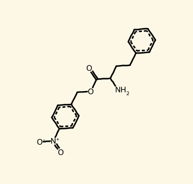 NC(CCc1ccccc1)C(=O)OCc1ccc([N+](=O)[O-])cc1